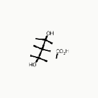 CC(=O)O.CC(C)(O)C(C)(C)C(C)(C)O